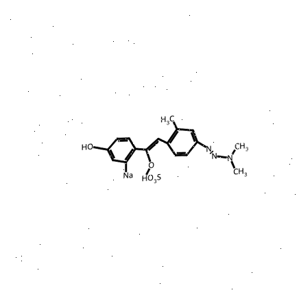 Cc1cc(N=NN(C)C)ccc1C=C(OS(=O)(=O)O)c1ccc(O)c[c]1[Na]